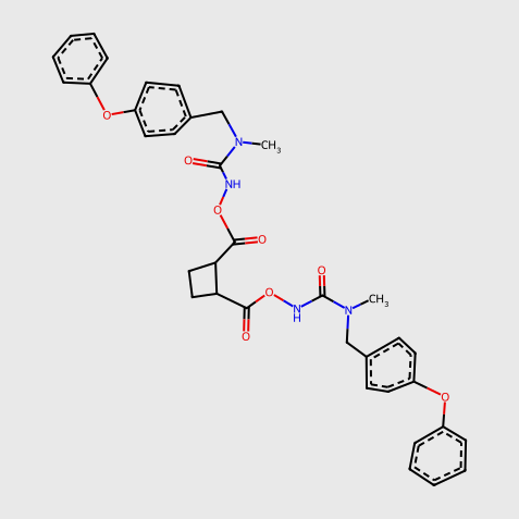 CN(Cc1ccc(Oc2ccccc2)cc1)C(=O)NOC(=O)C1CCC1C(=O)ONC(=O)N(C)Cc1ccc(Oc2ccccc2)cc1